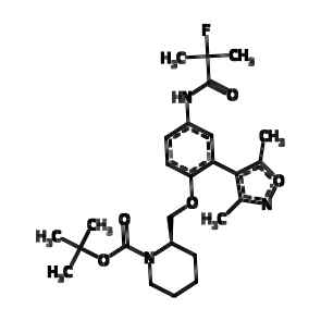 Cc1noc(C)c1-c1cc(NC(=O)C(C)(C)F)ccc1OC[C@H]1CCCCN1C(=O)OC(C)(C)C